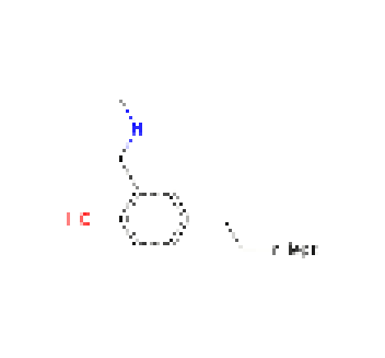 CCCCCCCCCc1ccc(O)c(CN(C)C)c1